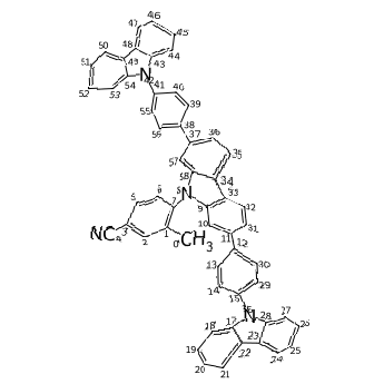 Cc1cc(C#N)ccc1-n1c2cc(-c3ccc(-n4c5ccccc5c5ccccc54)cc3)ccc2c2ccc(-c3ccc(-n4c5ccccc5c5ccccc54)cc3)cc21